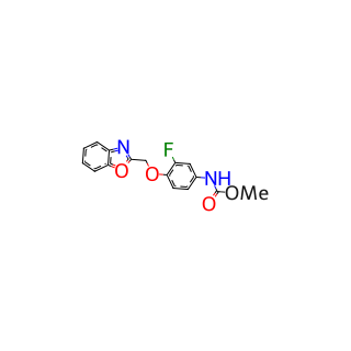 COC(=O)Nc1ccc(OCc2nc3ccccc3o2)c(F)c1